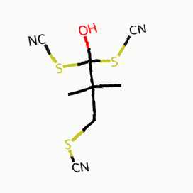 CC(C)(CSC#N)C(O)(SC#N)SC#N